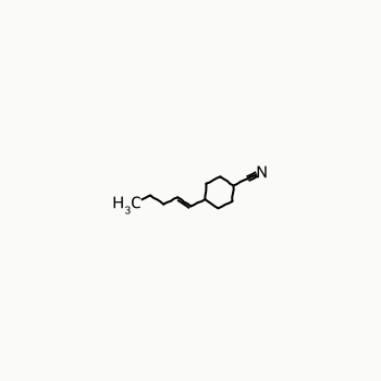 CCCC=CC1CCC(C#N)CC1